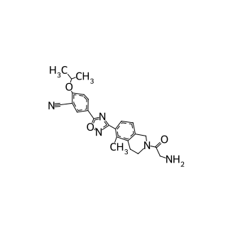 Cc1c(-c2noc(-c3ccc(OC(C)C)c(C#N)c3)n2)ccc2c1CCN(C(=O)CN)C2